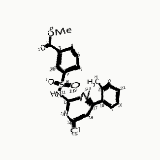 COC(=O)c1cccc(S(=O)(=O)Nc2nc(Cl)cc(-c3ccccc3C)n2)c1